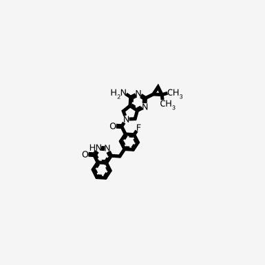 CC1(C)CC1c1nc(N)c2c(n1)CN(C(=O)c1cc(Cc3n[nH]c(=O)c4ccccc34)ccc1F)C2